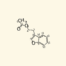 CC(=O)OCCc1coc2ccccc12